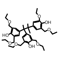 CCOCc1cc(C(C)(c2cc(COCC)c(O)c(COCC)c2)C(C)(C)c2cc(COCC)c(O)c(OCC)c2)cc(COCC)c1O